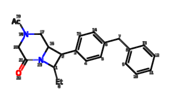 CCC1C(c2ccc(Cc3ccccc3)cc2)C2CN(C(C)=O)CC(=O)N12